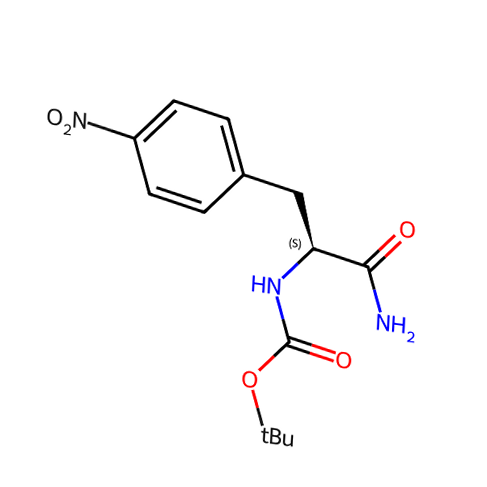 CC(C)(C)OC(=O)N[C@@H](Cc1ccc([N+](=O)[O-])cc1)C(N)=O